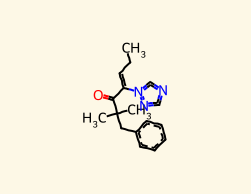 CCC=C(C(=O)C(C)(C)Cc1ccccc1)n1cncn1